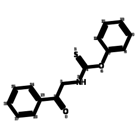 O=C(CNC(=S)Oc1ccccc1)c1ccccc1